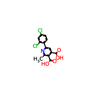 Cc1nc(-c2ccc(Cl)cc2Cl)cc(C(=O)O)c1C(=O)O